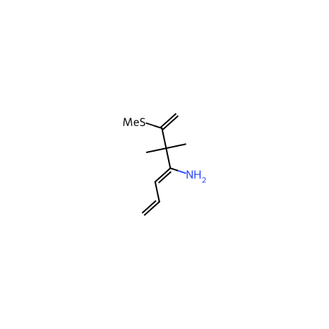 C=C/C=C(\N)C(C)(C)C(=C)SC